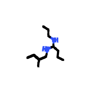 CCCNC(CCC)NCC(C)CC